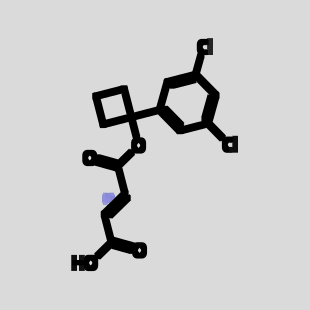 O=C(O)/C=C/C(=O)OC1(c2cc(Cl)cc(Cl)c2)CCC1